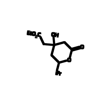 CCOC(=O)CC1(O)CC(=O)OC(C(C)C)C1